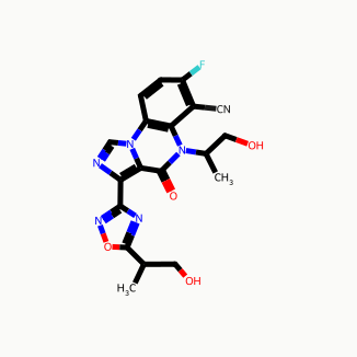 CC(CO)c1nc(-c2ncn3c2c(=O)n(C(C)CO)c2c(C#N)c(F)ccc23)no1